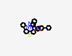 c1ccc(-c2ccc(-n3c4ccccc4c4c5c(ccc43)sc3ccc4c6ccccc6n(-c6nc(-c7ccccc7)c7ccccc7n6)c4c35)cc2)cc1